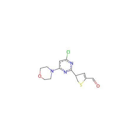 O=CC1=CC(c2nc(Cl)cc(N3CCOCC3)n2)CS1